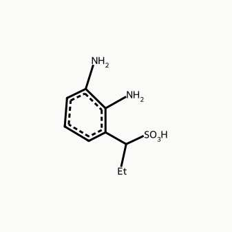 CCC(c1cccc(N)c1N)S(=O)(=O)O